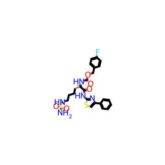 NS(=O)(=O)NCCCC[C@H](NC(=O)OCc1ccc(F)cc1)C(=O)Nc1nc(-c2ccccc2)cs1